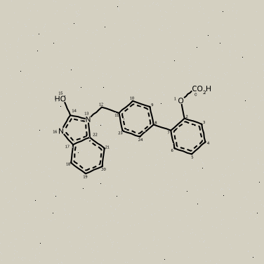 O=C(O)Oc1ccccc1-c1ccc(Cn2c(O)nc3ccccc32)cc1